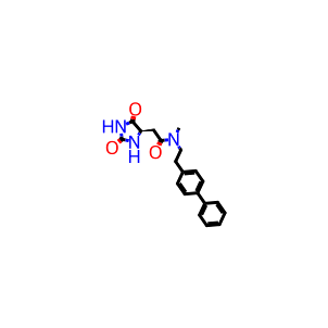 CN(CCc1ccc(-c2ccccc2)cc1)C(=O)C[C@H]1NC(=O)NC1=O